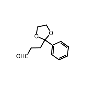 O=CCCC1(c2ccccc2)OCCO1